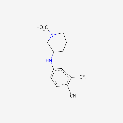 N#Cc1ccc(NC2CCCN(C(=O)O)C2)cc1C(F)(F)F